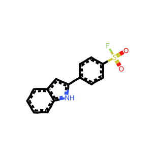 O=S(=O)(F)c1ccc(-c2cc3ccccc3[nH]2)cc1